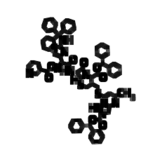 CC1=NC2=CN(C(=O)OC(c3ccccc3)c3ccccc3)NN2C(SCC2=C(C(=O)OC(c3ccccc3)c3ccccc3)N3C(=O)[C@@H](NC(=O)C(=NOC(=O)c4cccnc4)c4csc(NC(c5ccccc5)(c5ccccc5)c5ccccc5)n4)[C@H]3SC2)=C1